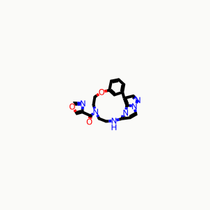 O=C(c1cocn1)N1CCNc2ccn3ncc(c3n2)-c2cccc(c2)OCC1